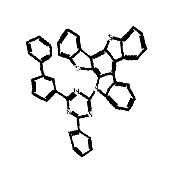 c1ccc(-c2cccc(-c3nc(-c4ccccc4)nc(-n4c5ccccc5c5c6c7ccccc7sc6c6c7ccccc7sc6c54)n3)c2)cc1